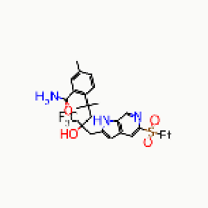 CCS(=O)(=O)c1cc2cc(CC(O)(CC(C)(C)c3ccc(C)cc3C(N)=O)C(F)(F)F)[nH]c2cn1